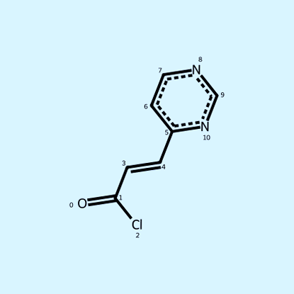 O=C(Cl)/C=C/c1ccncn1